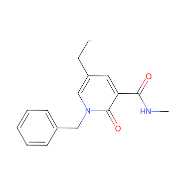 [CH2]Cc1cc(C(=O)NC)c(=O)n(Cc2ccccc2)c1